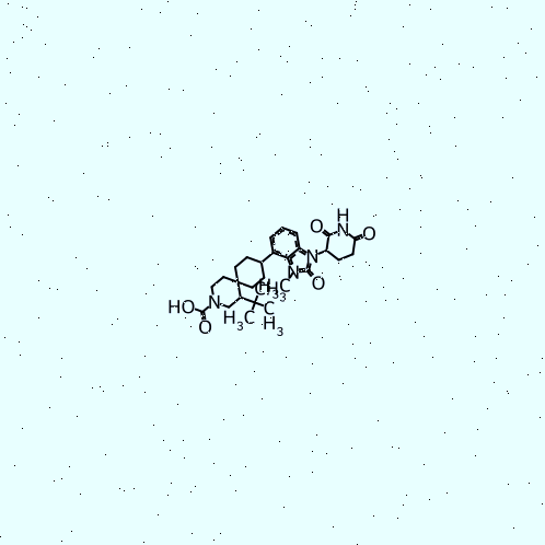 Cn1c(=O)n(C2CCC(=O)NC2=O)c2cccc(C3CCC4(CC3)CCN(C(=O)O)CC4C(C)(C)C)c21